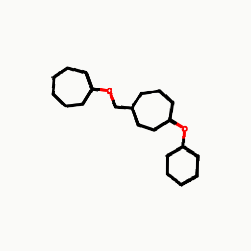 [CH]1CCCC(OCC2CCCC(OC3[CH]CCCC3)CC2)CC1